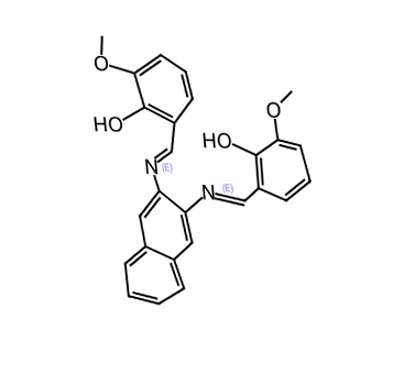 COc1cccc(/C=N/c2cc3ccccc3cc2/N=C/c2cccc(OC)c2O)c1O